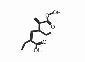 C=C(C(=O)OO)C(C=C(CC)C(=O)O)CC